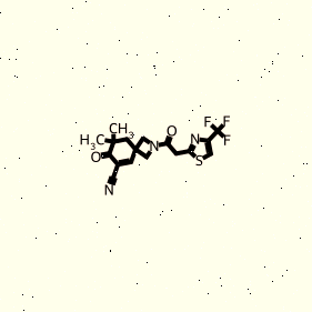 CC1(C)CC2(C=C(C#N)C1=O)CN(C(=O)Cc1nc(C(F)(F)F)cs1)C2